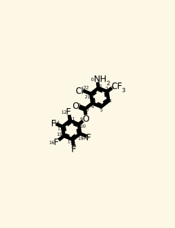 Nc1c(C(F)(F)F)ccc(C(=O)Oc2c(F)c(F)c(F)c(F)c2F)c1Cl